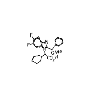 CO[C@H](c1ccccc1)c1nc2cc(F)c(F)cc2n1C(C(=O)O)C1CCCCC1